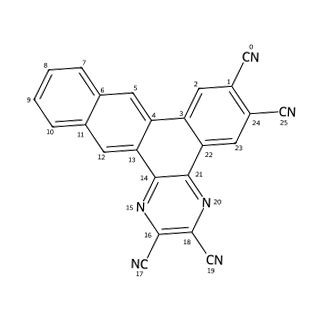 N#Cc1cc2c3cc4ccccc4cc3c3nc(C#N)c(C#N)nc3c2cc1C#N